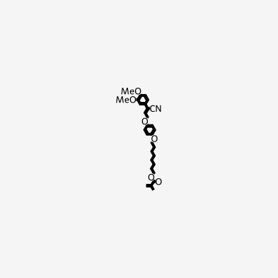 C=C(C)C(=O)OCCCCCCCCOc1ccc(OC/C=C(\C#N)c2ccc(OC)c(OC)c2)cc1